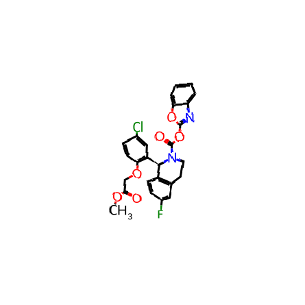 COC(=O)COc1ccc(Cl)cc1[C@@H]1c2ccc(F)cc2CCN1C(=O)Oc1nc2ccccc2o1